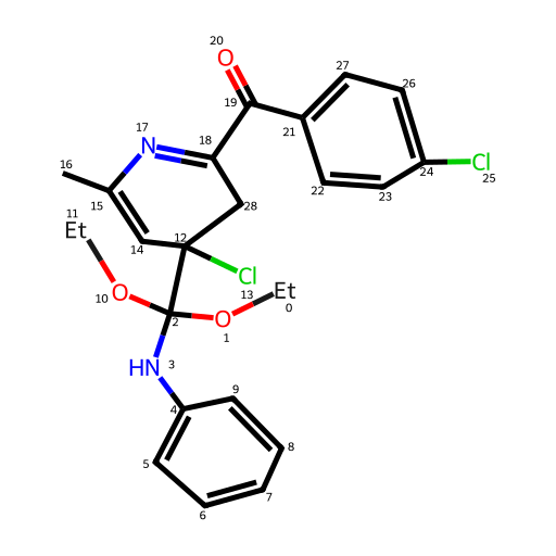 CCOC(Nc1ccccc1)(OCC)C1(Cl)C=C(C)N=C(C(=O)c2ccc(Cl)cc2)C1